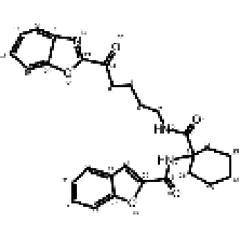 O=C(NC1(C(=O)NCCCCC(=O)c2nc3ccccc3o2)CCCCC1)c1cc2ccccc2o1